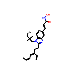 C=C/C(=C\C=C/C)CCc1nc2cc(/C=C/C(=O)NO)ccc2n1CC(C)(C)CNC